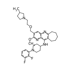 COc1nc2c(NC3CCN(c4cccc(F)c4F)CC3)c3c(nc2cc1COCCN1CCC(C)C1)CCCCC3